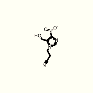 N#CCCn1cnc([N+](=O)[O-])c1CO